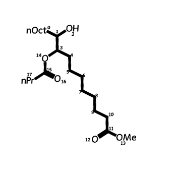 CCCCCCCCC(O)C(CCCCCCCC(=O)OC)OC(=O)CCC